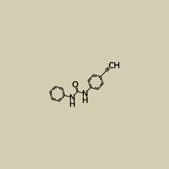 C#Cc1ccc(NC(=O)Nc2ccccc2)cc1